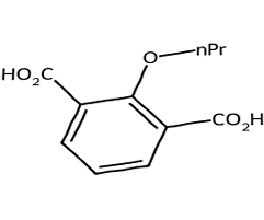 CCCOc1c(C(=O)O)cccc1C(=O)O